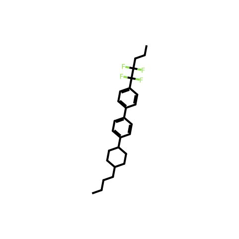 CCCCC1CCC(c2ccc(-c3ccc(C(F)(F)C(F)(F)CCC)cc3)cc2)CC1